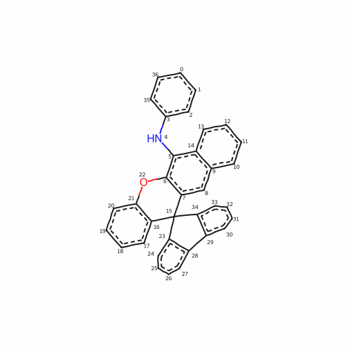 c1ccc(Nc2c3c(cc4ccccc24)C2(c4ccccc4O3)c3ccccc3-c3ccccc32)cc1